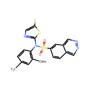 COc1cc(C(F)(F)F)ccc1N(c1ncc(F)s1)S(=O)(=O)c1ccc2cnncc2c1